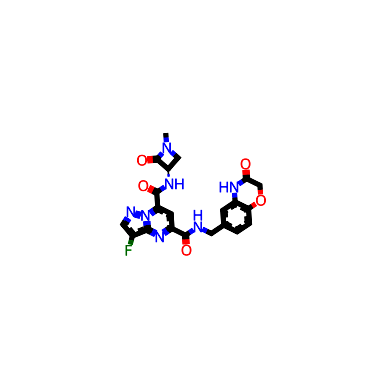 CN1C[C@H](NC(=O)c2cc(C(=O)NCc3ccc4c(c3)NC(=O)CO4)nc3c(F)cnn23)C1=O